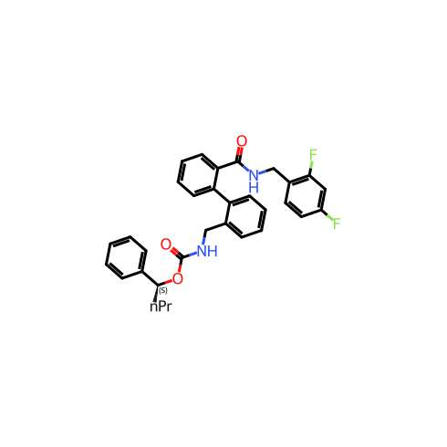 CCC[C@H](OC(=O)NCc1ccccc1-c1ccccc1C(=O)NCc1ccc(F)cc1F)c1ccccc1